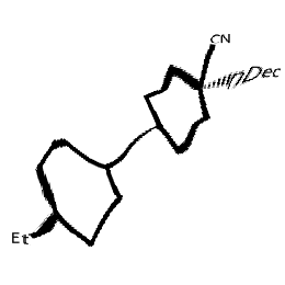 CCCCCCCCCC[C@]1(C#N)CC[C@@H](C2CCC(CC)CC2)CC1